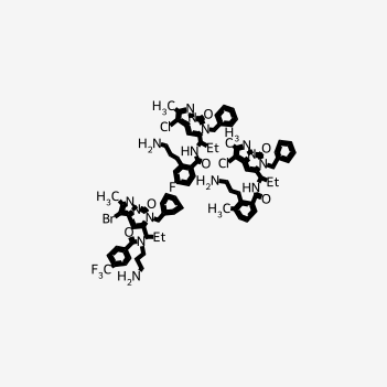 CCC(NC(=O)c1ccc(F)cc1CCCN)c1cc2c(Cl)c(C)nn2c(=O)n1Cc1ccccc1.CCC(NC(=O)c1cccc(C)c1CCCN)c1cc2c(Cl)c(C)nn2c(=O)n1Cc1ccccc1.CCC(c1cc2c(Br)c(C)nn2c(=O)n1Cc1ccccc1)N(CCCN)C(=O)c1ccc(C(F)(F)F)cc1